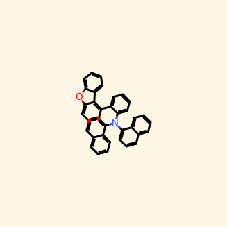 c1ccc(N(c2cccc3ccccc23)c2cccc3ccccc23)c(-c2cccc3oc4ccccc4c23)c1